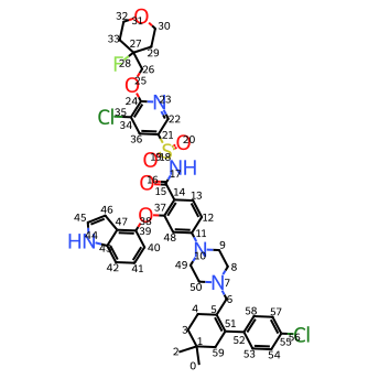 CC1(C)CCC(CN2CCN(c3ccc(C(=O)NS(=O)(=O)c4cnc(OCC5(F)CCOCC5)c(Cl)c4)c(Oc4cccc5[nH]ccc45)c3)CC2)=C(c2ccc(Cl)cc2)C1